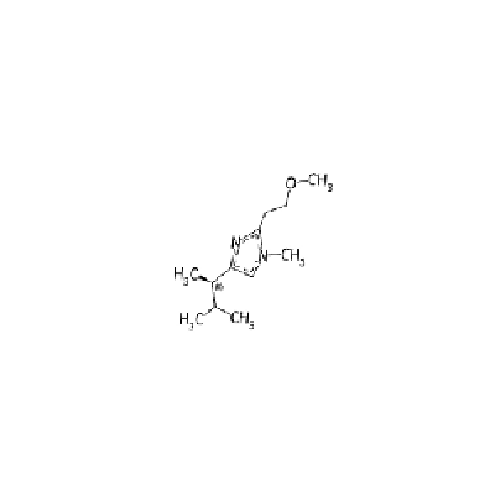 COCCc1nc([C@H](C)C(C)C)cn1C